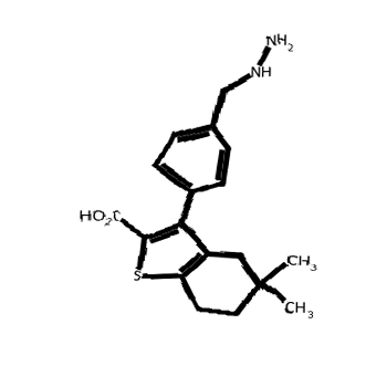 CC1(C)CCc2sc(C(=O)O)c(-c3ccc(CNN)cc3)c2C1